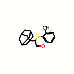 Cc1ccccc1SC(C=O)C12CC3CC(CC(C3)C1)C2